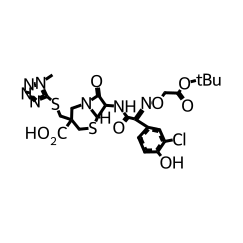 Cn1nnnc1SCC1(C(=O)O)CS[C@@H]2C(NC(=O)C(=NOCC(=O)OC(C)(C)C)c3ccc(O)c(Cl)c3)C(=O)N2C1